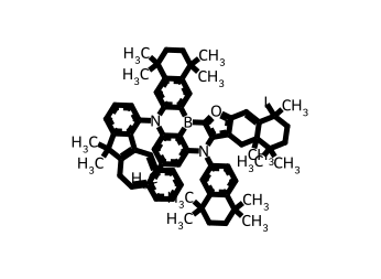 Cc1cc2c3c(c1)N(c1ccc4c(c1)C(C)(C)CCC4(C)C)c1c(oc4c1CC1(C)C(=C4)C(C)(I)CCC1(C)C)B3c1cc3c(cc1N2c1cccc2c1C1=C(CC=c4ccccc4=C1)C2(C)C)C(C)(C)CCC3(C)C